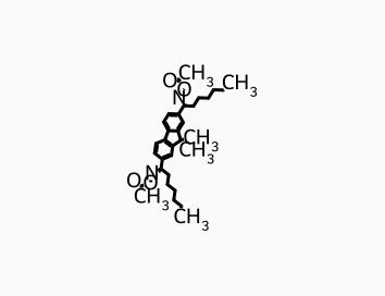 CCCCCC/C(=N\OC(C)=O)c1ccc2c(c1)C(C)(C)c1cc(/C(CCCCCC)=N/OC(C)=O)ccc1-2